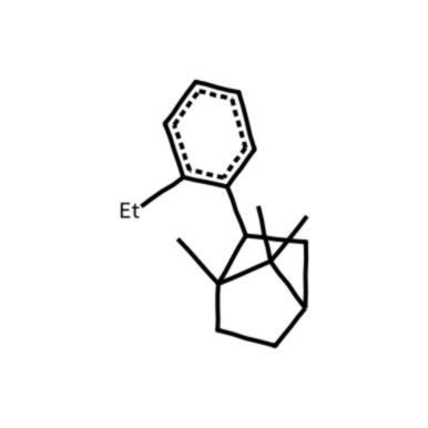 [CH2]Cc1ccccc1C1CC2CCC1(C)C2(C)C